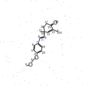 COCOc1ccc(/C=C/C2(C)C=C(I)C(=O)CC2)cc1